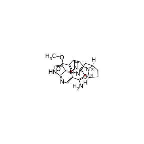 COC(=O)c1ccc(N2[C@@H]3CC[C@H]2C[C@H](Nc2c(C(N)=O)cnc4[nH]ccc24)C3)nn1